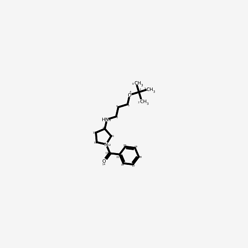 CC(C)(C)OCCCNC1CCN(C(=O)c2ccccc2)C1